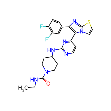 CCNC(=O)N1CCC(Nc2nccc(-c3c(-c4ccc(F)c(F)c4)nc4sccn34)n2)CC1